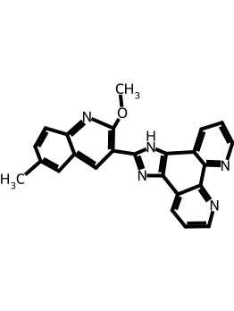 COc1nc2ccc(C)cc2cc1-c1nc2c3cccnc3c3ncccc3c2[nH]1